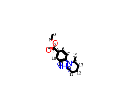 CCOC(=O)c1ccc(N2CCCCC2C)c(N)c1